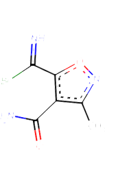 Cc1noc(C(=N)Br)c1C(N)=O